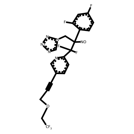 O=NC(Cn1cnnn1)(c1ccc(F)cc1F)C(F)(F)c1ccc(C#CCOCC(F)(F)F)cn1